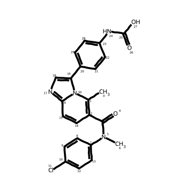 Cc1c(C(=O)N(C)c2ccc(Cl)cc2)ccc2ncc(-c3ccc(NC(=O)O)cc3)n12